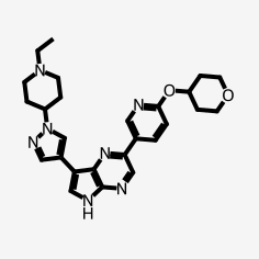 CCN1CCC(n2cc(-c3c[nH]c4ncc(-c5ccc(OC6CCOCC6)nc5)nc34)cn2)CC1